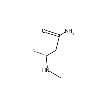 CN[C@H](C)CC(N)=O